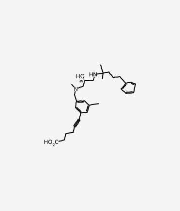 Cc1cc(C#CCCCC(=O)O)cc(CN(C)C[C@H](O)CNC(C)(C)CCCc2ccccc2)c1